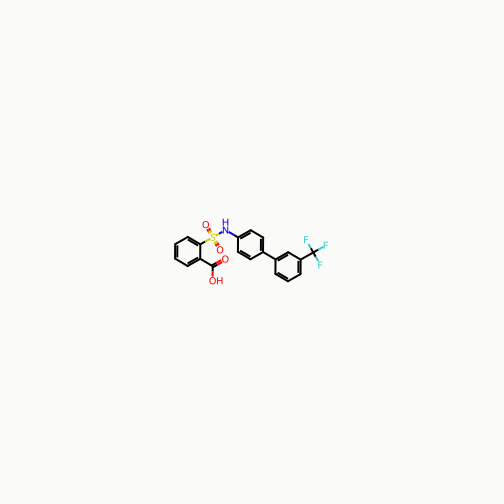 O=C(O)c1ccccc1S(=O)(=O)Nc1ccc(-c2cccc(C(F)(F)F)c2)cc1